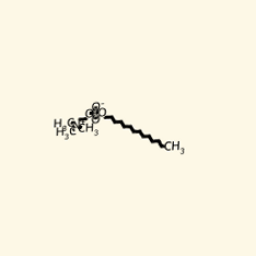 CCCCCCCCCCCCCCOP(=O)([O-])OCC[N+](C)(C)C